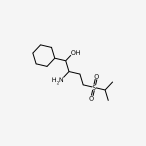 CC(C)S(=O)(=O)CCC(N)C(O)C1CCCCC1